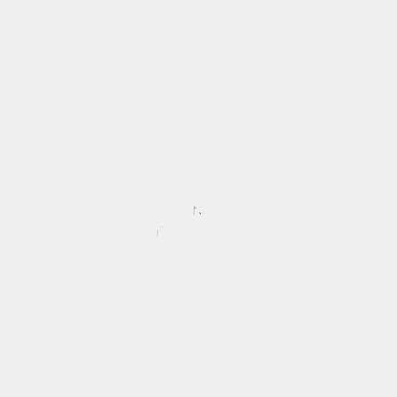 CC(C)/C=N/C1CCCCC1